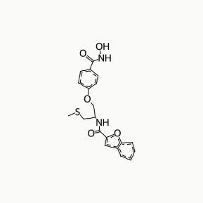 CSCC(COc1ccc(C(=O)NO)cc1)NC(=O)c1cc2ccccc2o1